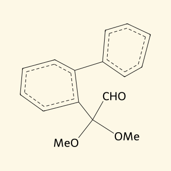 COC(C=O)(OC)c1ccccc1-c1ccccc1